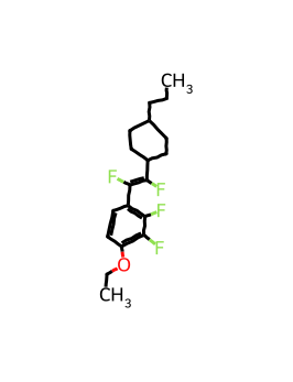 CCCC1CCC(C(F)=C(F)c2ccc(OCC)c(F)c2F)CC1